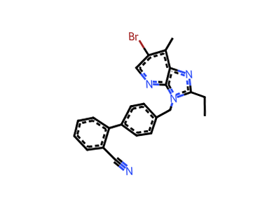 CCc1nc2c(C)c(Br)cnc2n1Cc1ccc(-c2ccccc2C#N)cc1